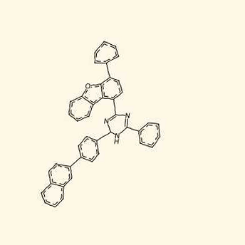 c1ccc(C2=NC(c3ccc(-c4ccccc4)c4oc5ccccc5c34)=NC(c3ccc(-c4ccc5ccccc5c4)cc3)N2)cc1